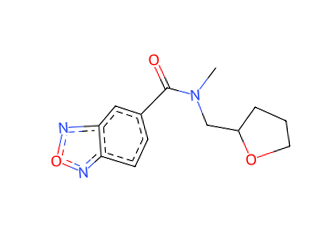 CN(CC1CCCO1)C(=O)c1ccc2nonc2c1